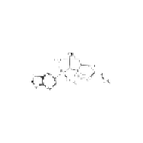 C=CC(=O)NC1CC(C)(C)N(S(=O)(=O)c2ccc3ncsc3c2)C1(C)C